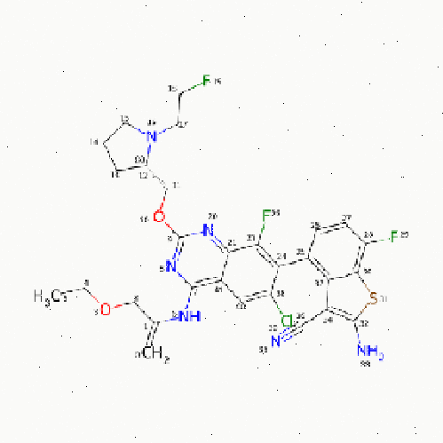 C=C(COCC)Nc1nc(OC[C@@H]2CCCN2CCF)nc2c(F)c(-c3ccc(F)c4sc(N)c(C#N)c34)c(Cl)cc12